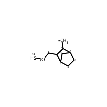 CC1C2CCC(C2)C1COS